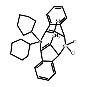 CC1=C2c3ccccc3[CH]1[Zr]([Cl])([Cl])[CH]1C(C)=C(c3ccccc31)[Si]2(C1CCCCC1)C1CCCCC1